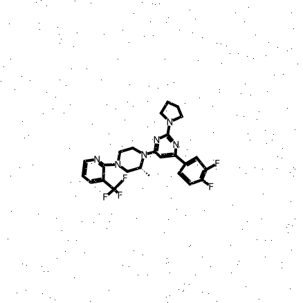 C[C@@H]1CN(c2ncccc2C(F)(F)F)CCN1c1cc(-c2ccc(F)c(F)c2)nc(N2CCCC2)n1